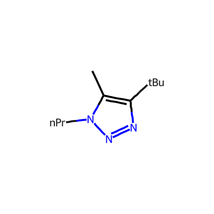 CCCn1nnc(C(C)(C)C)c1C